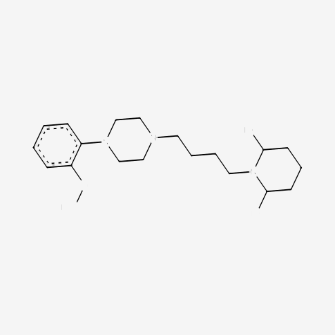 COc1ccccc1N1CCN(CCCCN2C(O)CCCC2O)CC1